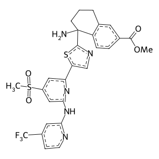 COC(=O)c1ccc2c(c1)CCCC2(N)c1ncc(-c2cc(S(C)(=O)=O)cc(Nc3cc(C(F)(F)F)ccn3)n2)s1